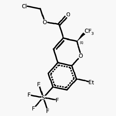 CCc1cc(S(F)(F)(F)(F)F)cc2c1O[C@H](C(F)(F)F)C(C(=O)OCCl)=C2